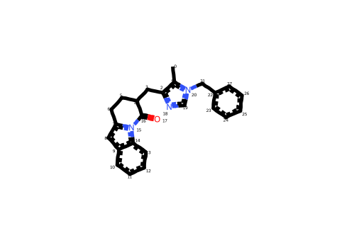 Cc1c(CC2CCc3cc4ccccc4n3C2=O)ncn1Cc1ccccc1